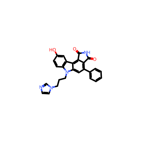 O=C1NC(=O)c2c1c(-c1ccccc1)cc1c2c2cc(O)ccc2n1CCCn1ccnc1